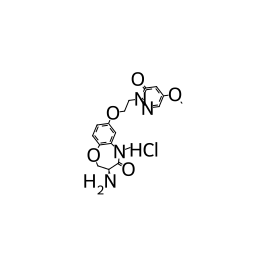 COc1cnn(CCOc2ccc3c(c2)N(C)C(=O)[C@@H](N)CO3)c(=O)c1.Cl